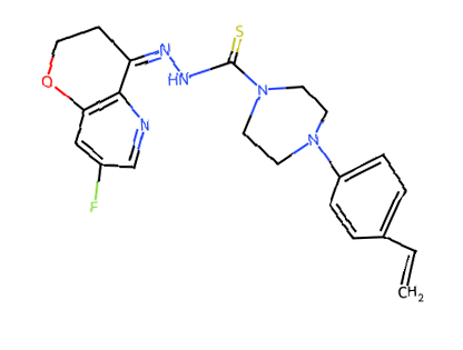 C=Cc1ccc(N2CCN(C(=S)N/N=C3/CCOc4cc(F)cnc43)CC2)cc1